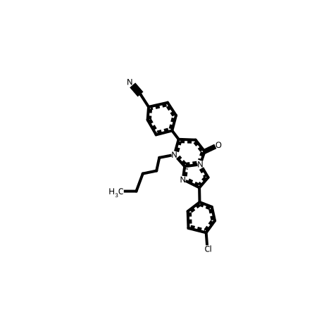 CCCCCn1c(-c2ccc(C#N)cc2)cc(=O)n2cc(-c3ccc(Cl)cc3)nc12